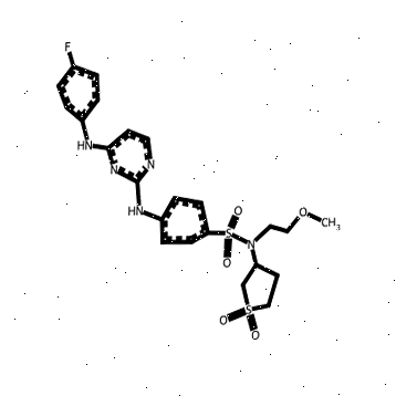 COCCN(C1CCS(=O)(=O)C1)S(=O)(=O)c1ccc(Nc2nccc(Nc3ccc(F)cc3)n2)cc1